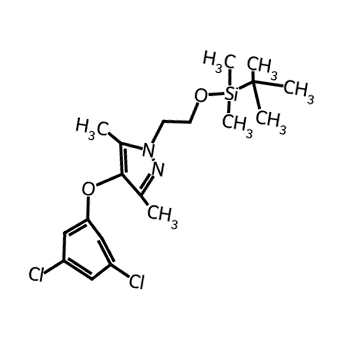 Cc1nn(CCO[Si](C)(C)C(C)(C)C)c(C)c1Oc1cc(Cl)cc(Cl)c1